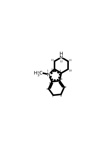 Cn1c2c(c3c1=CCCC=3)CCNC2